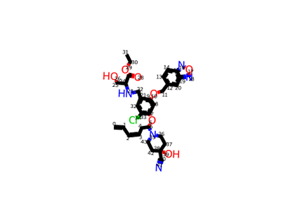 C=C/C=C\CC(Oc1cc(OCc2ccc3nonc3c2)c(CNC(CO)C(=O)OCC)cc1Cl)N1CCC(O)(C#N)CC1